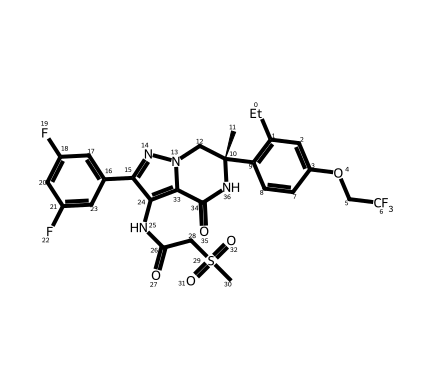 CCc1cc(OCC(F)(F)F)ccc1[C@@]1(C)Cn2nc(-c3cc(F)cc(F)c3)c(NC(=O)CS(C)(=O)=O)c2C(=O)N1